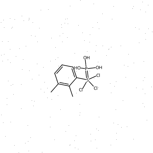 Cc1cccc(S(Cl)(Cl)(Cl)=P(O)(O)O)c1C